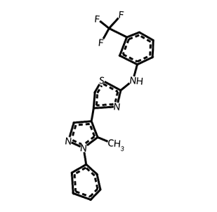 Cc1c(-c2csc(Nc3cccc(C(F)(F)F)c3)n2)cnn1-c1ccccc1